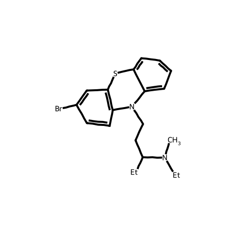 CCC(CCN1c2ccccc2Sc2cc(Br)ccc21)N(C)CC